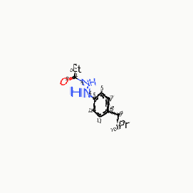 CCC(=O)NNc1ccc(CC(C)C)cc1